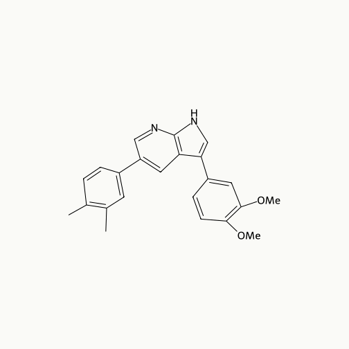 COc1ccc(-c2c[nH]c3ncc(-c4ccc(C)c(C)c4)cc23)cc1OC